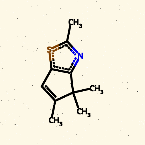 CC1=Cc2sc(C)nc2C1(C)C